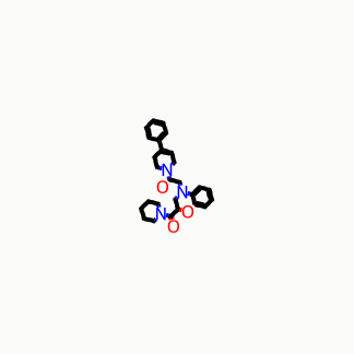 O=C(CN1CC(C(=O)N2CCCCC2)Oc2ccccc21)N1CC=C(c2ccccc2)CC1